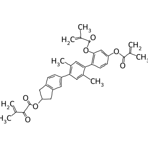 C=C(C)C(=O)Oc1ccc(-c2cc(C)c(-c3ccc4c(c3)CC(OC(=O)C(=O)C(=C)C)C4)cc2C)c(OC(=O)C(=C)C)c1